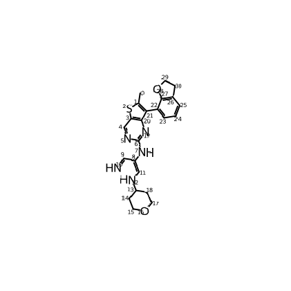 Cc1sc2cnc(N/C(C=N)=C/NC3CCOCC3)nc2c1-c1cccc2c1OCC2